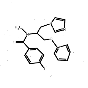 CN(C(=O)c1ccc(I)cc1)C(COc1ccccc1)Cn1ccnc1